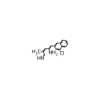 C/C(C=N)=C/C(N)=C/c1cc(Cl)c2ccccc2c1